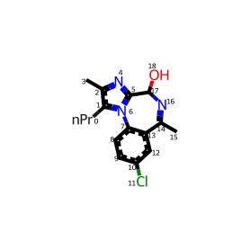 CCCc1c(C)nc2n1-c1ccc(Cl)cc1C(C)=NC2O